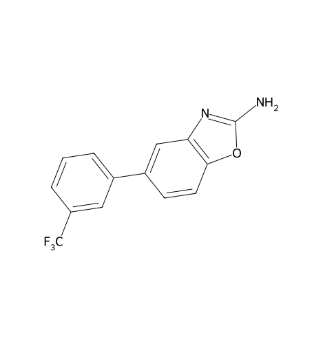 Nc1nc2cc(-c3cccc(C(F)(F)F)c3)ccc2o1